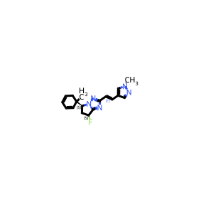 Cn1cc(/C=C/c2nc3n(n2)[C@H](C2(C)C=CC=CC2)C[C@@H]3F)cn1